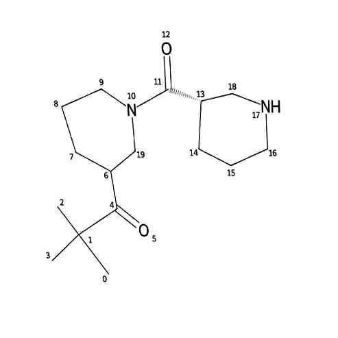 CC(C)(C)C(=O)C1CCCN(C(=O)[C@H]2CCCNC2)C1